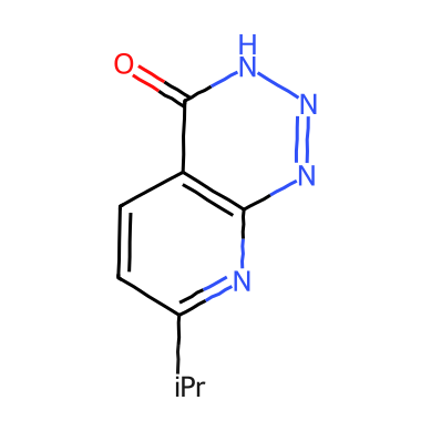 CC(C)c1ccc2c(=O)[nH]nnc2n1